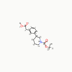 COC(=O)Cc1cccc(C2CCCN(C(=O)OC(C)(C)C)C2)c1